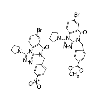 COC(=O)c1ccc(Cn2c(=O)c3cc(Br)ccc3n3c(N4CCCC4)nnc23)cc1.O=c1c2cc(Br)ccc2n2c(N3CCCC3)nnc2n1Cc1ccc([N+](=O)[O-])cc1